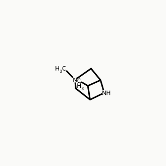 CC1C2CN(C)CC1N2